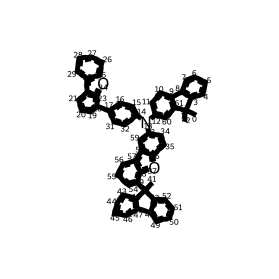 CC1(C)c2ccccc2-c2ccc(N(c3ccc(-c4cccc5c4oc4ccccc45)cc3)c3ccc4oc5c(C6(C)c7ccccc7-c7ccccc76)cccc5c4c3)cc21